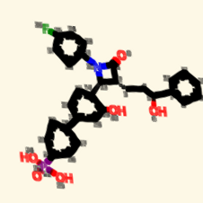 O=C1[C@H](CC[C@H](O)c2ccccc2)[C@@H](c2ccc(-c3ccc(P(=O)(O)O)cc3)cc2O)N1c1ccc(F)cc1